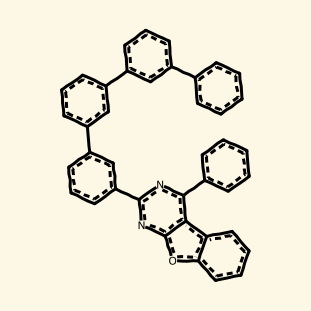 c1ccc(-c2cccc(-c3cccc(-c4cccc(-c5nc(-c6ccccc6)c6c(n5)oc5ccccc56)c4)c3)c2)cc1